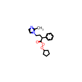 Cc1nccn1CCC(C(=O)OOC1CCCC1)c1ccccc1